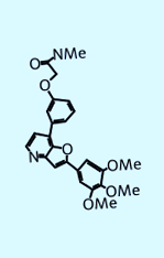 CNC(=O)COc1cccc(-c2ccnc3cc(-c4cc(OC)c(OC)c(OC)c4)oc23)c1